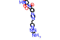 Nc1cnc(N2CCC(CCN3CCN(c4ccc5c(c4)C(=O)N(C4CCC(=O)NC4=O)C5=O)CC3)CC2)nc1